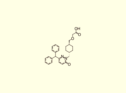 O=C(O)COC[C@H]1CC[C@H](Cn2nc(C(c3ccccc3)c3ccccc3)ccc2=O)CC1